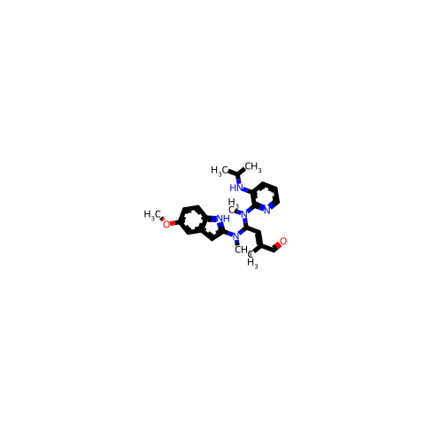 COc1ccc2[nH]c(N(C)C(/C=C(\C)C=O)N(C)c3ncccc3NC(C)C)cc2c1